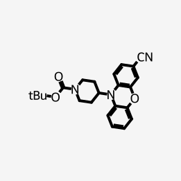 CC(C)(C)OC(=O)N1CCC(N2c3ccccc3Oc3cc(C#N)ccc32)CC1